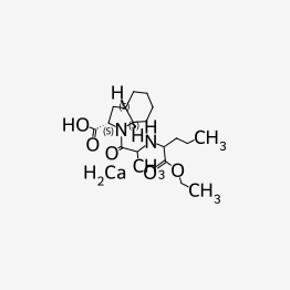 CCCC(NC(C)C(=O)N1[C@H](C(=O)O)C[C@@H]2CCCC[C@@H]21)C(=O)OCC.[CaH2]